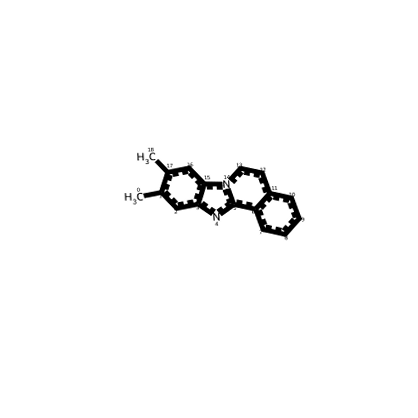 Cc1cc2nc3c4ccccc4ccn3c2cc1C